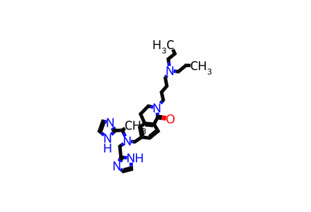 CCCN(CCC)CCCCN1CCc2cc(CN(Cc3ncc[nH]3)C(C)c3ncc[nH]3)ccc2C1=O